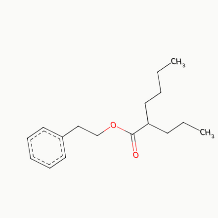 CCCCC(CCC)C(=O)OCCc1ccccc1